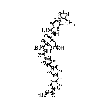 Cc1ncsc1-c1ccc([C@H](C)NC(=O)[C@@H]2C[C@@H](O)CN2C(=O)[C@@H](NC(=O)c2cnc(N3CCN(CC4CCN(C(=O)OC(C)(C)C)CC4)CC3)cn2)C(C)(C)C)cc1